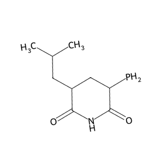 CC(C)CC1CC(P)C(=O)NC1=O